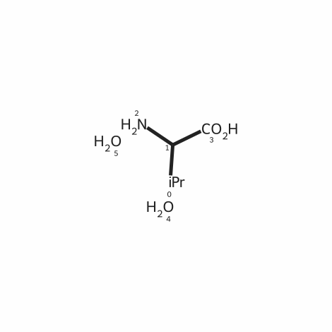 CC(C)C(N)C(=O)O.O.O